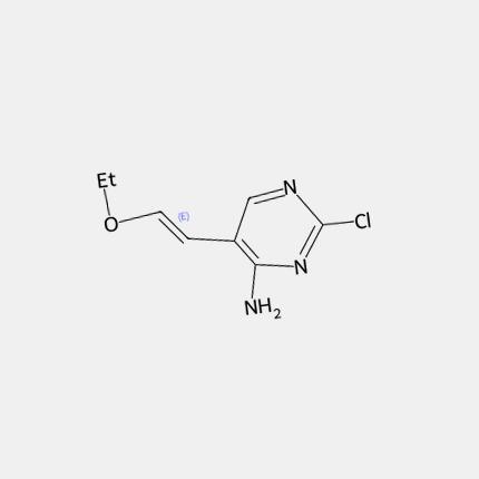 CCO/C=C/c1cnc(Cl)nc1N